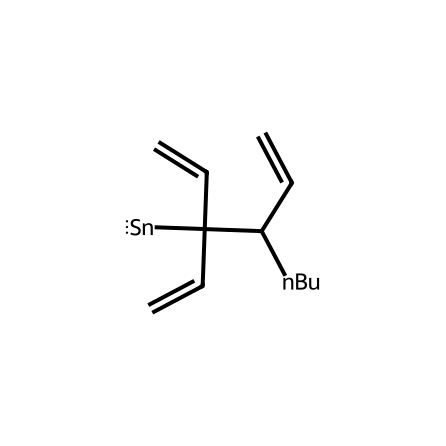 C=CC(CCCC)[C]([Sn])(C=C)C=C